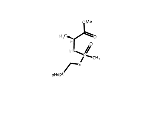 CCCCCCCCSP(C)(=O)N[C@@H](C)C(=O)OC